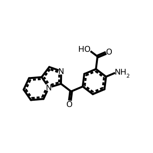 Nc1ccc(C(=O)c2ncc3ccccn23)cc1C(=O)O